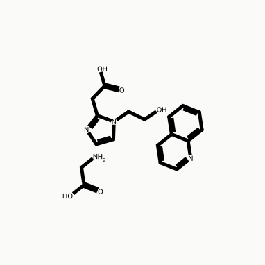 NCC(=O)O.O=C(O)Cc1nccn1CCO.c1ccc2ncccc2c1